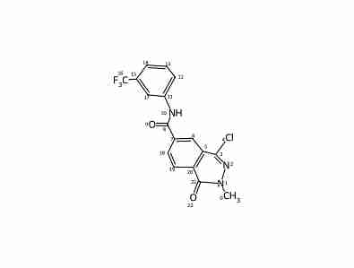 Cn1nc(Cl)c2cc(C(=O)Nc3cccc(C(F)(F)F)c3)ccc2c1=O